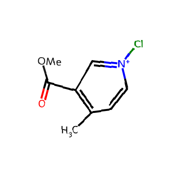 COC(=O)c1c[n+](Cl)ccc1C